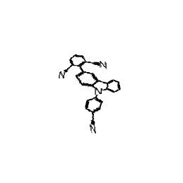 N#Cc1ccc(-n2c3ccccc3c3cc(-c4c(C#N)cccc4C#N)ccc32)cc1